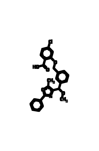 COC(c1cccc(COc2cc(Cl)ccc2C(=O)O)c1)c1nc(-c2ccccc2)oc1C